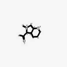 CC(=O)C1C2CCCOC2CN1C